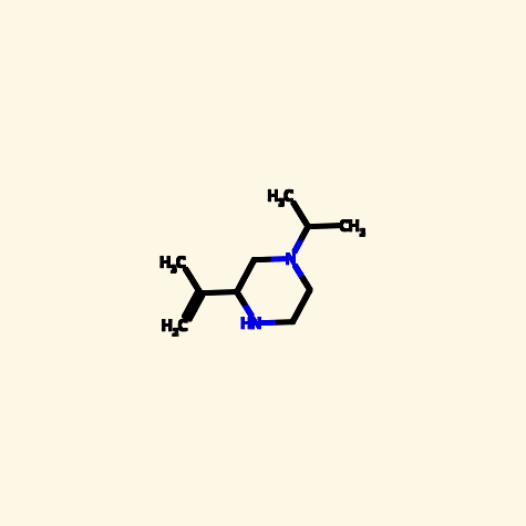 C=C(C)C1CN(C(C)C)CCN1